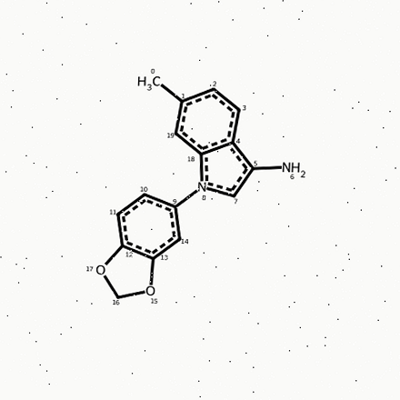 Cc1ccc2c(N)cn(-c3ccc4c(c3)OCO4)c2c1